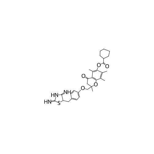 Cc1c(C)c2c(c(C)c1OC(=O)C1CCCCC1)C(=O)CC(C)(COc1ccc(CC3SC(=N)NC3=N)cc1)O2